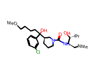 CNC[C@@H](NC(=O)N1CCC[C@@H]([C@@](O)(CCCCOC)c2cccc(Cl)c2)C1)[C@H](O)C(C)C